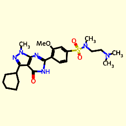 COc1cc(S(=O)(=O)N(C)CCN(C)C)ccc1-c1nc2c(c(C3CCCCC3)nn2C)c(=O)[nH]1